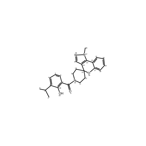 CC(C)c1cccc(C(=O)N2CCC3(CC2)Oc2ccccc2-c2c3cnn2C)c1O